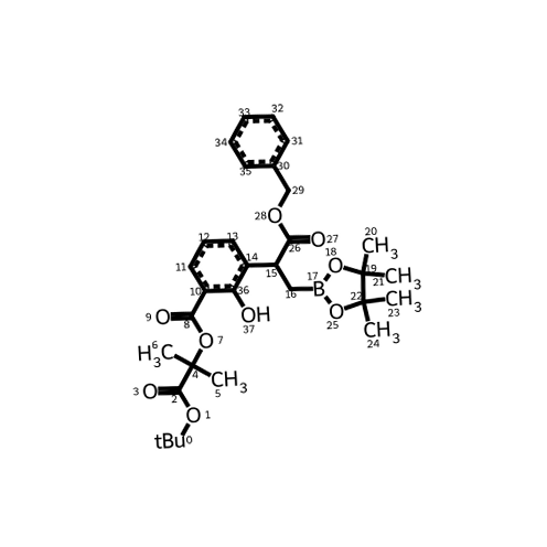 CC(C)(C)OC(=O)C(C)(C)OC(=O)c1cccc(C(CB2OC(C)(C)C(C)(C)O2)C(=O)OCc2ccccc2)c1O